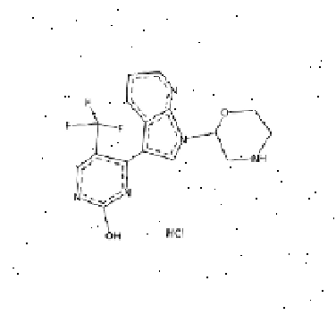 Cl.Oc1ncc(C(F)(F)F)c(-c2cn(C3CNCCO3)c3ncccc23)n1